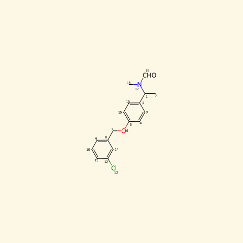 CC(c1ccc(OCc2cccc(Cl)c2)cc1)N(C)C=O